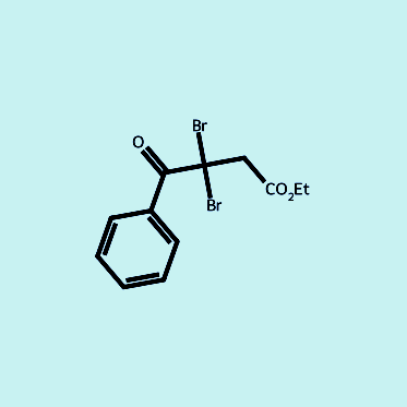 CCOC(=O)CC(Br)(Br)C(=O)c1ccccc1